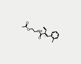 C=C/C(=C\c1ccccc1C)C(=O)NCCOC(C)=O